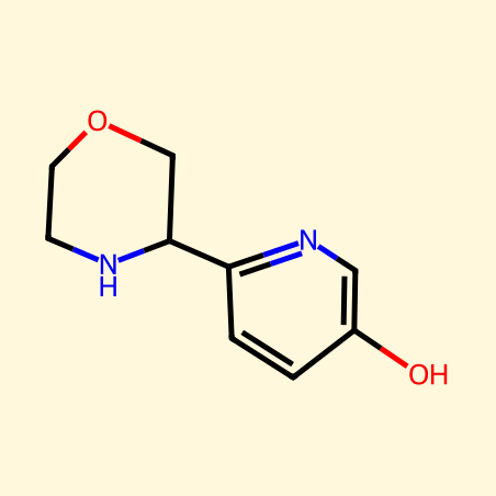 Oc1ccc(C2COCCN2)nc1